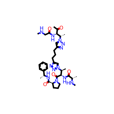 CNCC(=O)N[C@H](C(C)=O)[C@H](C)n1cc(CCCc2cn([C@@H](C)[C@H](NC(=O)[C@H](C)NC)C(=O)N3CCC[C@H]3C(=O)N[C@H](C)c3ccccc3)nn2)nn1